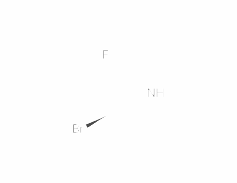 FC1NC[C@H]1Br